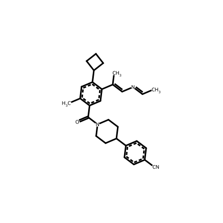 C/C=N/C=C(\C)c1cc(C(=O)N2CCC(c3ccc(C#N)cc3)CC2)c(C)cc1C1CCC1